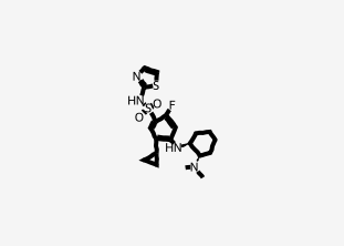 CN(C)[C@H]1CCCC[C@@H]1Nc1cc(F)c(S(=O)(=O)Nc2nccs2)cc1C1CC1